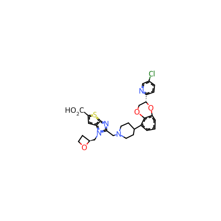 O=C(O)c1cc2c(nc(CN3CCC(c4cccc5c4OC[C@H](c4ccc(Cl)cn4)O5)CC3)n2C[C@@H]2CCO2)s1